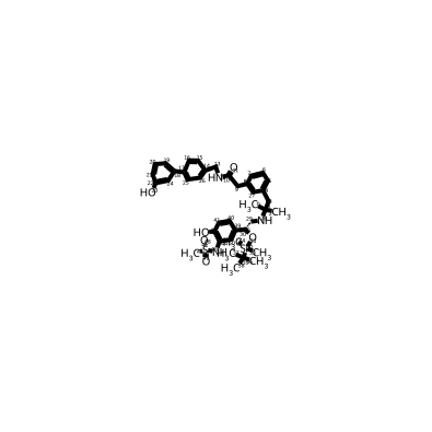 CC(C)(Cc1cccc(CC(=O)NCc2ccc(-c3cccc(O)c3)cc2)c1)NC[C@H](O[Si](C)(C)C(C)(C)C)c1ccc(O)c(NS(C)(=O)=O)c1